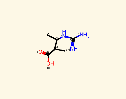 CC(NC(=N)N)[C@@H](C)C(=O)O